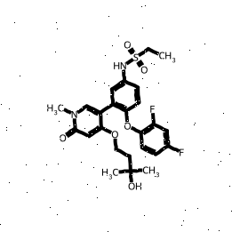 CCS(=O)(=O)Nc1ccc(Oc2ccc(F)cc2F)c(-c2cn(C)c(=O)cc2OCCC(C)(C)O)c1